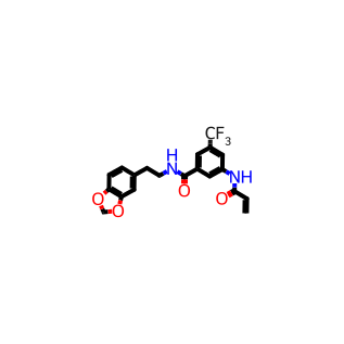 C=CC(=O)Nc1cc(C(=O)NCCc2ccc3c(c2)OCO3)cc(C(F)(F)F)c1